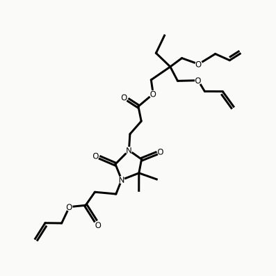 C=CCOCC(CC)(COCC=C)COC(=O)CCN1C(=O)N(CCC(=O)OCC=C)C(C)(C)C1=O